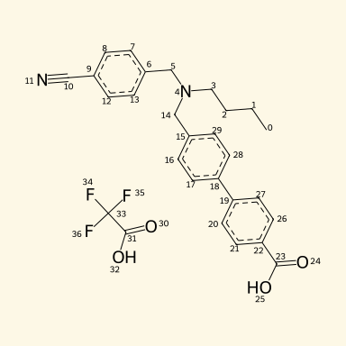 CCCCN(Cc1ccc(C#N)cc1)Cc1ccc(-c2ccc(C(=O)O)cc2)cc1.O=C(O)C(F)(F)F